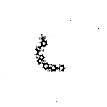 O=C(c1cnc(-c2cccc(C(F)(F)F)c2)[nH]1)N1CC[C@@H]2[C@H]1CCN2C1CCC(O)(c2ccc(-c3ncccn3)cn2)CC1